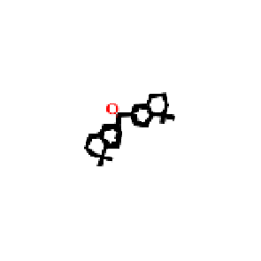 CC1(C)CCCc2cc(C(=O)c3ccc4c(c3)CCCC4(C)C)ccc21